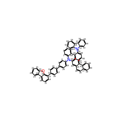 c1ccc(N(c2ccc(-c3ccc(-c4cccc5c4oc4ccccc45)cc3)cc2)c2ccc3c(ccc4ccccc43)c2)c(-c2ccccc2-n2c3ccccc3c3ccccc32)c1